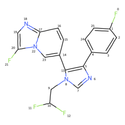 Fc1ccc(-c2ncn(CC(F)F)c2-c2ccc3ncc(F)n3c2)cc1